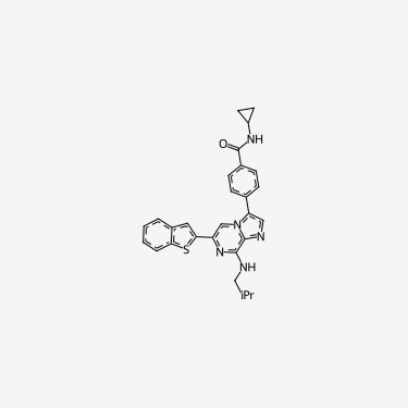 CC(C)CNc1nc(-c2cc3ccccc3s2)cn2c(-c3ccc(C(=O)NC4CC4)cc3)cnc12